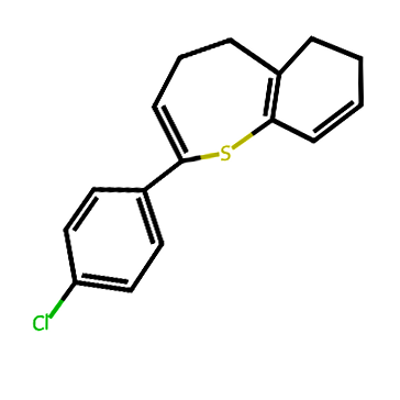 Clc1ccc(C2=CCCC3=C(C=CCC3)S2)cc1